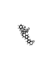 O=C=N[C@@]1(NS(=O)(=O)c2ccccc2)C2C(=O)OC23C=Cc2cc(-c4ccc5c(n4)NCCC5)ccc2C31